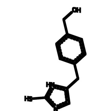 OCc1ccc(Cc2cnc(S)[nH]2)cc1